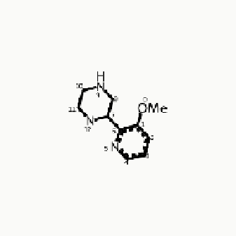 COc1cccnc1C1CNCC[N]1